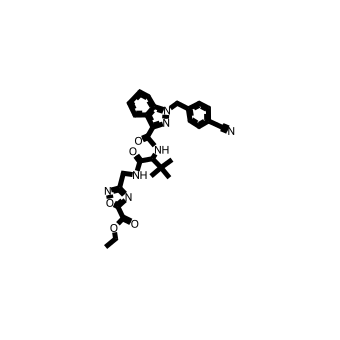 CCOC(=O)c1nc(CNC(=O)C(NC(=O)c2nn(Cc3ccc(C#N)cc3)c3ccccc23)C(C)(C)C)no1